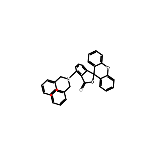 O=C1OC2(c3ccccc3Oc3ccccc32)c2cccc(N(Cc3ccccc3)Cc3ccccc3)c21